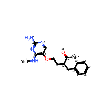 CCCCNc1nc(N)ncc1OCCC(Cc1ccccc1)C(=O)CCC